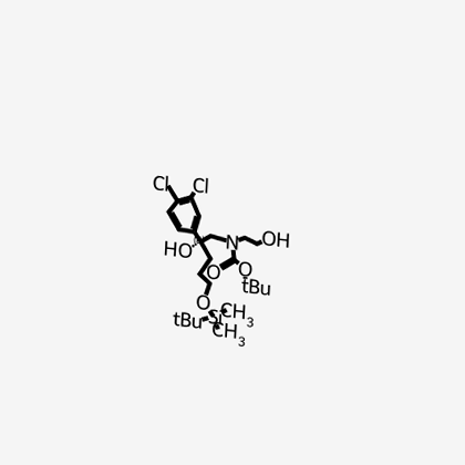 CC(C)(C)OC(=O)N(CCO)C[C@@](O)(CCCO[Si](C)(C)C(C)(C)C)c1ccc(Cl)c(Cl)c1